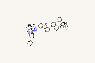 C=C(/N=C(/C1=CCC(C2=CCCC=C2)C=C1)C1=C(N)C=CCC1)c1ccc2sc3c(-c4ccc5c6c(cccc46)C(C)(C)c4ccccc4-5)cccc3c2c1